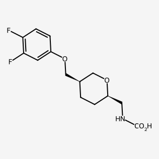 O=C(O)NC[C@H]1CC[C@@H](COc2ccc(F)c(F)c2)CO1